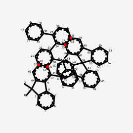 CC1(C)c2ccccc2-c2c(-c3ccccc3N(c3ccccc3-c3ccccc3-c3ccccc3)c3cccc4c3C3(c5ccccc5-c5ccccc53)c3ccccc3-4)cccc21